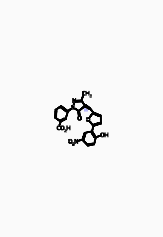 CC1=NN(c2cccc(C(=O)O)c2)C(=O)/C1=C\c1ccc(-c2cc([N+](=O)[O-])ccc2O)o1